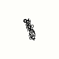 CC#CCn1c(NC[C@H](C)NC(=O)OC(C)(C)C)nc2c1c(=O)n(Cc1nc(C)c3ccccc3n1)c(=O)n2C